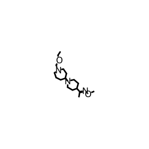 CCOCN1CCCC(N2CCC(C(C)=NOC)CC2)CC1